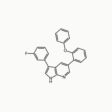 Fc1cccc(-c2c[nH]c3ncc(-c4ccccc4Oc4ccccc4)cc23)c1